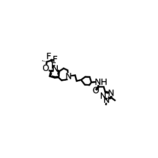 Cc1nc(CC(=O)NC2CCC(CCN3CCc4ccc(O[C@H](C)C(F)(F)F)nc4CC3)CC2)nn1C